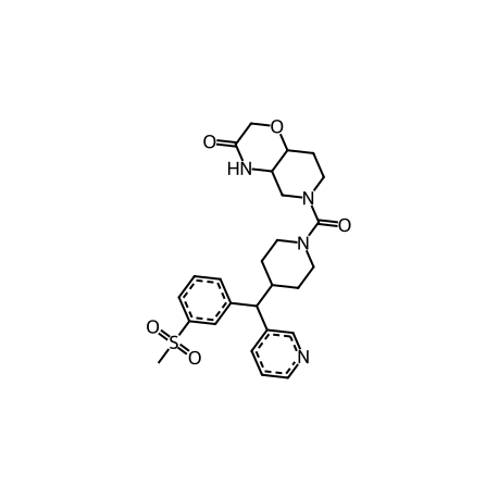 CS(=O)(=O)c1cccc(C(c2cccnc2)C2CCN(C(=O)N3CCC4OCC(=O)NC4C3)CC2)c1